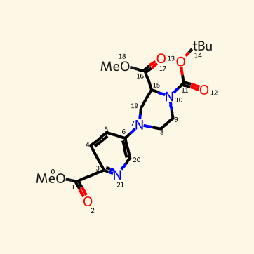 COC(=O)c1ccc(N2CCN(C(=O)OC(C)(C)C)C(C(=O)OC)C2)cn1